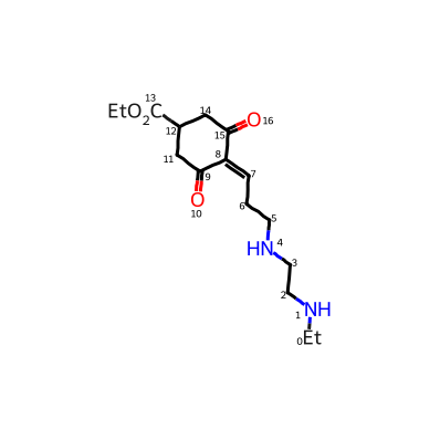 CCNCCNCCC=C1C(=O)CC(C(=O)OCC)CC1=O